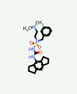 CN(C)CCN(Cc1ccccc1)S(=O)(=O)NC(=O)Nc1c2c(cc3c1CCC3)CCC2